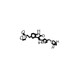 O=C1Nc2ccc(CCN3CCOC3=O)cc2C1=Cc1cc(CN2C[C@H]3C[C@H]3C2)c[nH]1